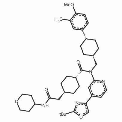 COc1ccc([C@H]2CC[C@H](CN(c3cc(-c4coc(C(C)(C)C)n4)ccn3)C(=O)[C@H]3CC[C@H](CC(=O)NC4CCOCC4)CC3)CC2)cc1C